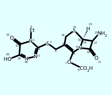 CCn1c(SCC2=C(OC(=O)O)N3C(=O)C(N)[C@@H]3SC2)nnc(O)c1=O